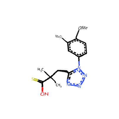 COc1ccc(-n2nnnc2CC(C)(C)C(O)=S)cc1OC